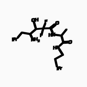 CC(C)CCNC(=O)C(C)NC(=O)C(F)(F)C(O)C(N)CC(C)C